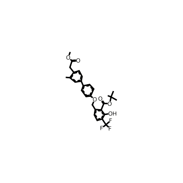 COC(=O)Cc1ccc(-c2ccc(OCc3ccc(C(F)(F)F)c(O)c3C(=O)OC(C)(C)C)cc2)cc1C